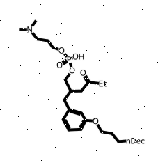 CCCCCCCCCCCCCOc1cccc(CC(COP(=O)(O)OCCCN(C)C)CC(=O)CC)c1